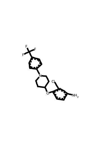 Nc1ccc(OC2CCN(c3ccc(C(F)(F)F)cc3)CC2)c(Cl)c1